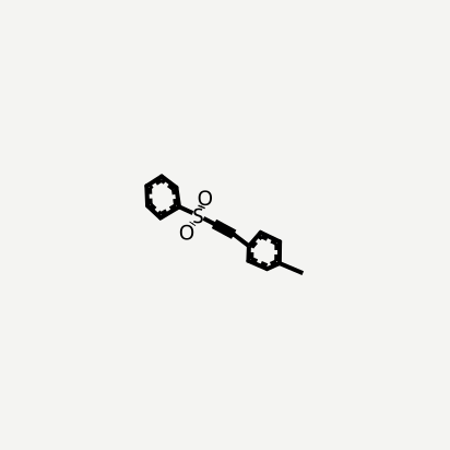 Cc1ccc(C#CS(=O)(=O)c2ccccc2)cc1